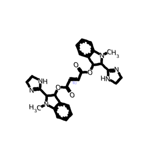 CN1c2ccccc2C(OC(=O)/C=C/C(=O)OC2c3ccccc3N(C)C2C2=NCCN2)C1C1=NCCN1